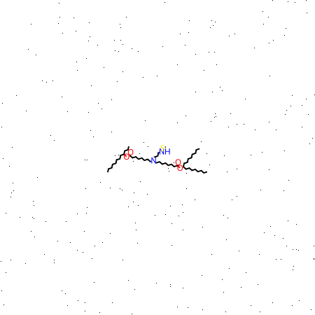 CCCCCCCCC(CCC)OC(=O)CCCCCCCN(CCCCCCCC(=O)OC(CCCCCCCC)CCCCCCCC)CCCNSC